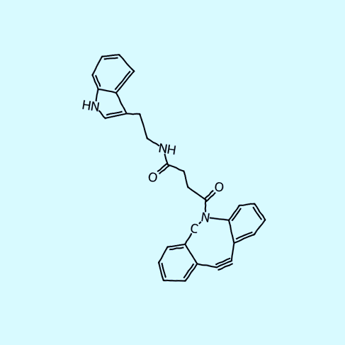 O=C(CCC(=O)N1Cc2ccccc2C#Cc2ccccc21)NCCc1c[nH]c2ccccc12